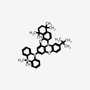 CC(C)(C)c1ccc2c(c1)B1c3ccc4c(c3Oc3cc(N5c6ccccc6[Si](C)(C)c6ccccc65)cc(c31)O2)C(C)(C)CCC4(C)C